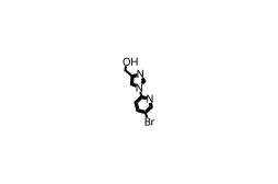 OCc1cn(-c2ccc(Br)cn2)cn1